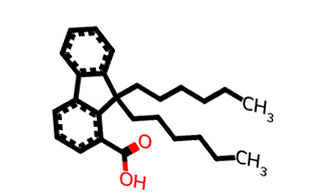 CCCCCCC1(CCCCCC)c2ccccc2-c2cccc(C(=O)O)c21